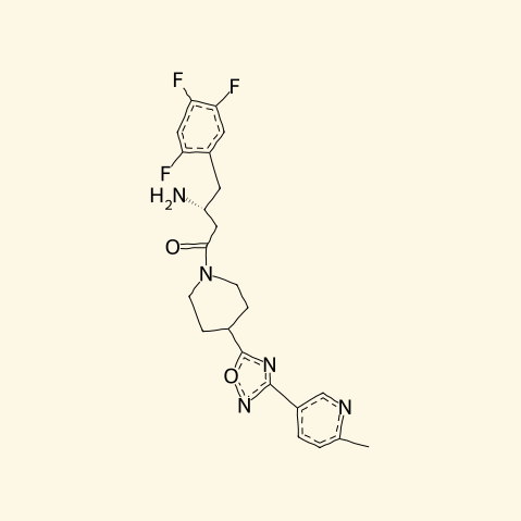 Cc1ccc(-c2noc(C3CCN(C(=O)C[C@H](N)Cc4cc(F)c(F)cc4F)CC3)n2)cn1